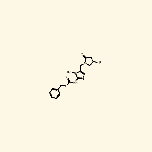 CCCC1CC(=O)N(Cc2cnc(NC(=O)OCc3ccccc3)n2C)C1